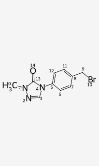 Cn1ncn(-c2ccc(CBr)cc2)c1=O